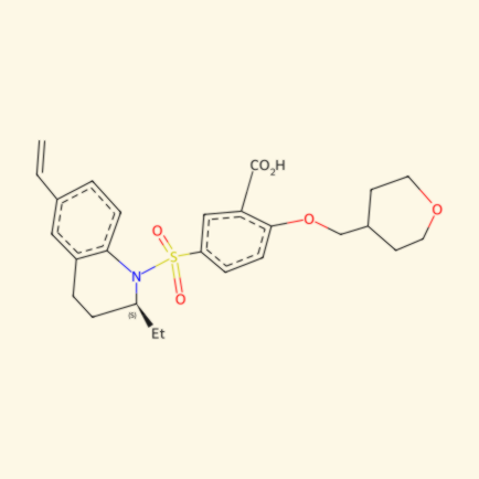 C=Cc1ccc2c(c1)CC[C@H](CC)N2S(=O)(=O)c1ccc(OCC2CCOCC2)c(C(=O)O)c1